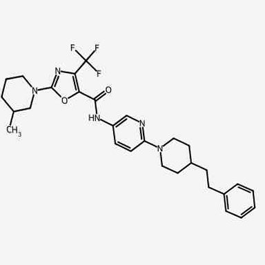 CC1CCCN(c2nc(C(F)(F)F)c(C(=O)Nc3ccc(N4CCC(CCc5ccccc5)CC4)nc3)o2)C1